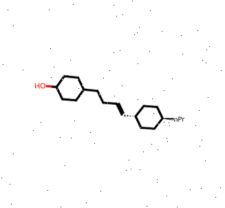 CCC[C@H]1CC[C@H](/C=C/CCC2CCC(O)CC2)CC1